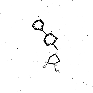 N[C@H]1C[C@@H](Cc2ccc(-c3ccccc3)cc2)C[C@@H]1O